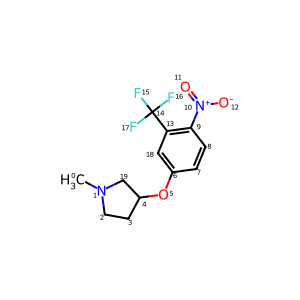 CN1CCC(Oc2ccc([N+](=O)[O-])c(C(F)(F)F)c2)C1